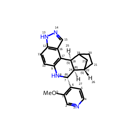 COc1cnccc1[C@@H]1Nc2ccc3[nH]ncc3c2[C@H]2C3CC[C@@H](C3)[C@@H]12